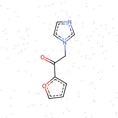 O=C(Cn1ccnc1)c1ccco1